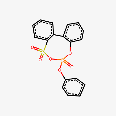 O=P1(Oc2ccccc2)Oc2ccccc2-c2ccccc2S(=O)(=O)O1